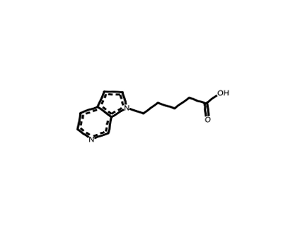 O=C(O)CCCCn1ccc2ccncc21